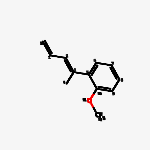 C=C/C=C(\C)c1ccccc1OC(F)(F)F